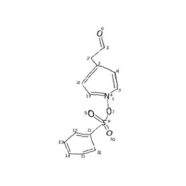 O=CCc1cc[n+](OS(=O)(=O)c2ccccc2)cc1